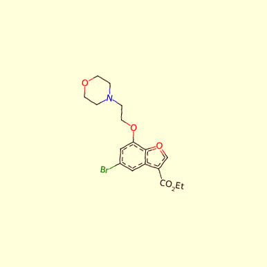 CCOC(=O)c1coc2c(OCCN3CCOCC3)cc(Br)cc12